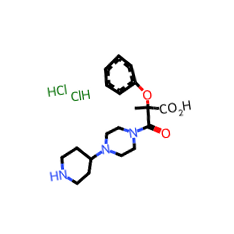 CC(Oc1ccccc1)(C(=O)O)C(=O)N1CCN(C2CCNCC2)CC1.Cl.Cl